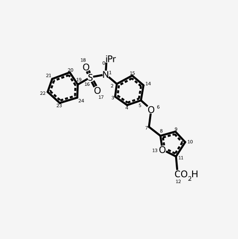 CC(C)N(c1ccc(OCc2ccc(C(=O)O)o2)cc1)S(=O)(=O)c1ccccc1